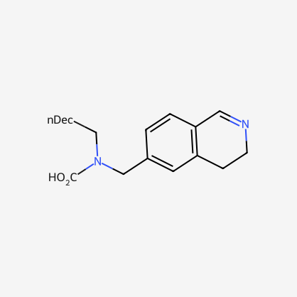 CCCCCCCCCCCN(Cc1ccc2c(c1)CCN=C2)C(=O)O